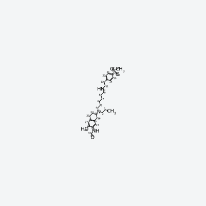 CCCN(CCCCCCNCCc1ccc(S(C)(=O)=O)cc1)C1CCc2cc(O)c(NC=O)cc2C1